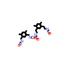 Cc1cc(C)c(CCN=C=O)cc1CCN=C=O.Cc1cc(C)c(CN=C=O)cc1CN=C=O